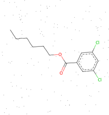 CCCCCCOC(=O)c1cc(Cl)cc(Cl)c1